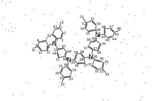 Cc1ccc(N(c2ccc(C)cc2)c2ccc(N(c3ccc(C)cc3)c3ccc(N(c4ccc(C)cc4)c4ccc(N(c5ccc(C)cc5)c5ccc(C)cc5)cc4)cc3)cc2)cc1